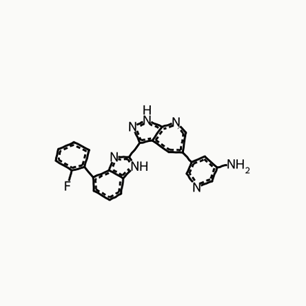 Nc1cncc(-c2cnc3[nH]nc(-c4nc5c(-c6ccccc6F)cccc5[nH]4)c3c2)c1